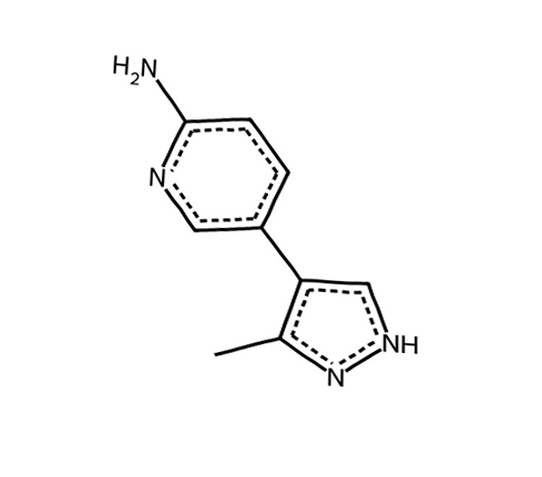 Cc1n[nH]cc1-c1ccc(N)nc1